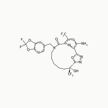 Nc1cc(C(F)(F)F)c2nc1-c1nnc(o1)[C@@](O)(C(F)(F)F)CCCCCN(Cc1ccc3c(c1)OC(F)(F)O3)C2=O